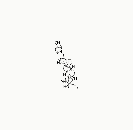 COC[C@]12CC[C@@](C)(O)C[C@H]1CC[C@H]1[C@@H]3CC[C@H](C(=O)Cn4ncc(C)n4)[C@@]3(C)CC[C@@H]12